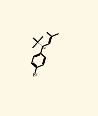 CC(C)=C[C@H](c1ccc(Br)cc1)C(C)(C)C